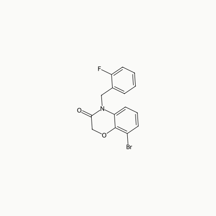 O=C1COc2c(Br)cccc2N1Cc1ccccc1F